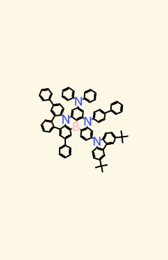 CC(C)(C)c1ccc2c(c1)c1cc(C(C)(C)C)ccc1n2-c1ccc2c(c1)N(c1ccc(-c3ccccc3)cc1)c1cc(N(c3ccccc3)c3ccccc3)cc3c1B2c1cc(-c2ccccc2)cc2c1N3c1ccc(-c3ccccc3)cc1-c1ccccc1-2